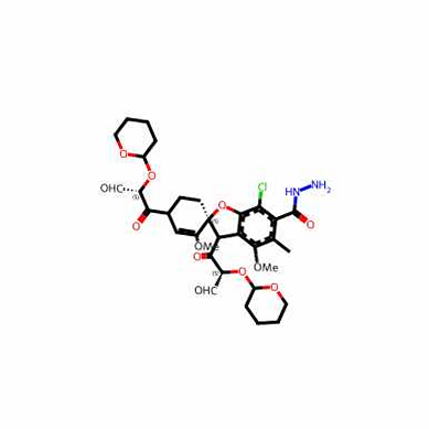 COC1=CC(C(=O)[C@H](C=O)OC2CCCCO2)CC[C@@]12Oc1c(Cl)c(C(=O)NN)c(C)c(OC)c1C2C(=O)[C@H](C=O)OC1CCCCO1